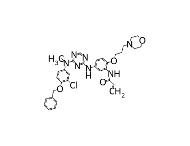 C=CC(=O)Nc1cc(Nc2ncnc(N(C)c3ccc(OCc4ccccc4)c(Cl)c3)n2)ccc1OCCCN1CCOCC1